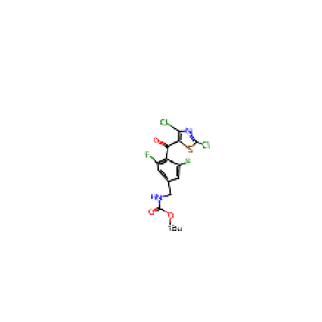 CC(C)(C)OC(=O)NCc1cc(F)c(C(=O)c2sc(Cl)nc2Cl)c(F)c1